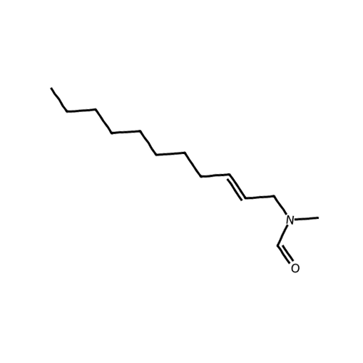 CCCCCCCC/C=C/CN(C)C=O